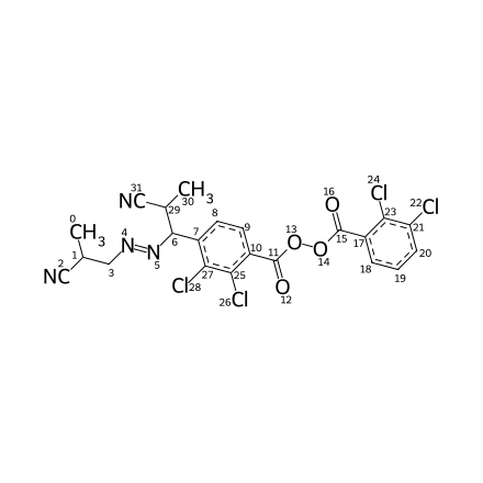 CC(C#N)CN=NC(c1ccc(C(=O)OOC(=O)c2cccc(Cl)c2Cl)c(Cl)c1Cl)C(C)C#N